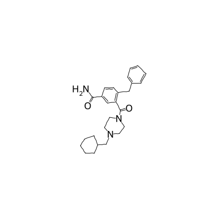 NC(=O)c1ccc(Cc2ccccc2)c(C(=O)N2CCN(CC3CCCCC3)CC2)c1